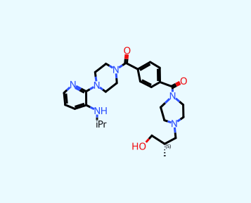 CC(C)Nc1cccnc1N1CCN(C(=O)c2ccc(C(=O)N3CCN(C[C@H](C)CO)CC3)cc2)CC1